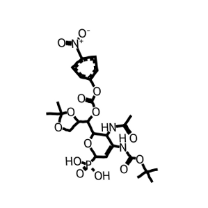 CC(=O)NC1C(NC(=O)OC(C)(C)C)=CC(P(=O)(O)O)OC1C(OC(=O)Oc1ccc([N+](=O)[O-])cc1)C1COC(C)(C)O1